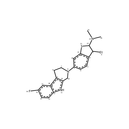 CCC1c2ccc(N3CCc4c([nH]c5ccc(F)cc45)C3)cc2SC1N(C)C